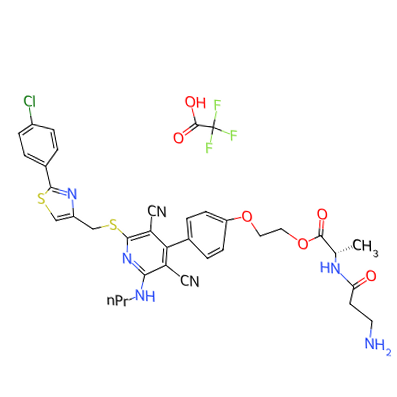 CCCNc1nc(SCc2csc(-c3ccc(Cl)cc3)n2)c(C#N)c(-c2ccc(OCCOC(=O)[C@H](C)NC(=O)CCN)cc2)c1C#N.O=C(O)C(F)(F)F